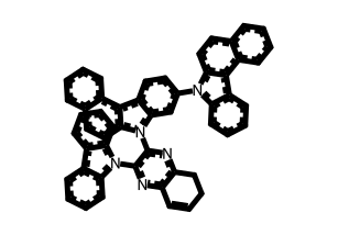 C1=Cc2nc(-n3c4ccccc4c4ccccc43)c(-n3c4cc(-n5c6ccccc6c6c7ccccc7ccc65)ccc4c4c5ccccc5ccc43)nc2CC1